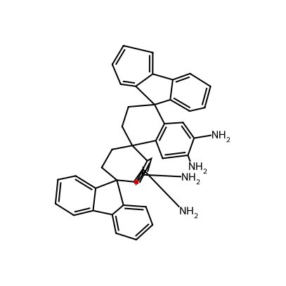 Nc1cc2c(cc1N)C1(CCC23CCC2(c4ccccc4-c4ccccc42)c2cc(N)c(N)cc23)c2ccccc2-c2ccccc21